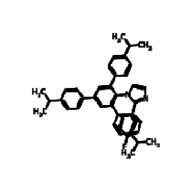 CC(C)c1ccc(-c2cc(-c3ccc(C(C)C)cc3)c(-n3ccnc3-c3ccc(F)cc3)c(-c3ccc(C(C)C)cc3)c2)cc1